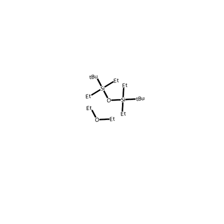 CCOCC.CC[Si](CC)(O[Si](CC)(CC)C(C)(C)C)C(C)(C)C